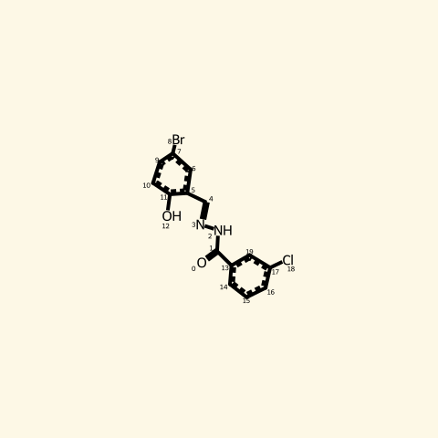 O=C(N/N=C/c1cc(Br)ccc1O)c1cccc(Cl)c1